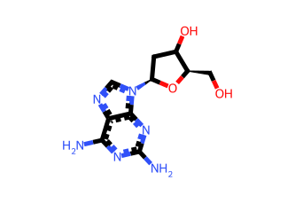 Nc1nc(N)c2ncn([C@H]3CC(O)[C@@H](CO)O3)c2n1